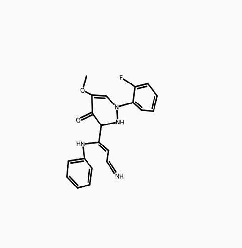 COC1=CN(c2ccccc2F)NC(/C(=C/C=N)Nc2ccccc2)C1=O